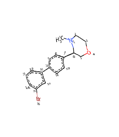 CN1CCOCC1c1ccc(-c2[c]ccc(Br)c2)cc1